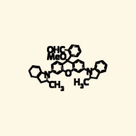 COC1(c2ccccc2C=O)c2ccc(N3C4=C(CCC=C4)CC3C)cc2Oc2cc(N3c4ccccc4CC3C)ccc21